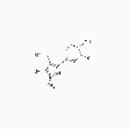 Cc1cc(-c2nn(C)c(Cl)c2C=O)ccc1O